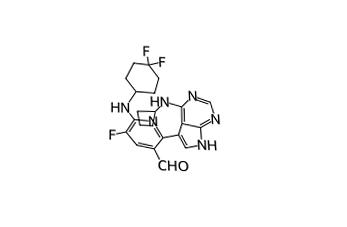 O=Cc1cc(F)c(NC2CCC(F)(F)CC2)nc1-c1c[nH]c2ncnc(NC3CCC3)c12